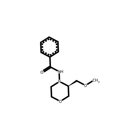 COC[C@H]1COCCN1NC(=O)c1ccccc1